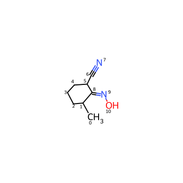 CC1CCCC(C#N)/C1=N/O